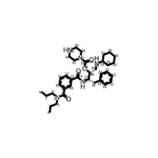 CCCN(CCC)C(=O)c1cccc(C(=O)N[C@@H](Cc2ccccc2)[C@@H](CNC2CCCCC2)OC(=O)N2CCNCC2)c1